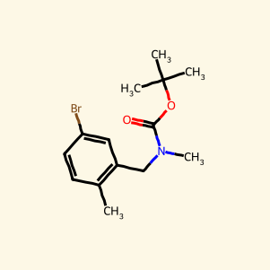 Cc1ccc(Br)cc1CN(C)C(=O)OC(C)(C)C